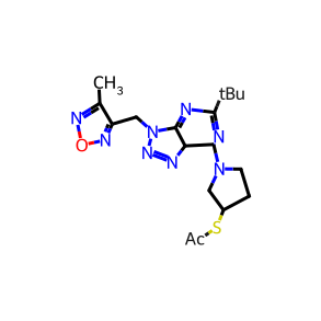 CC(=O)SC1CCN(C2N=C(C(C)(C)C)N=C3C2N=NN3Cc2nonc2C)C1